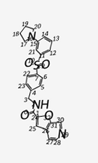 O=C(NCc1ccc(S(=O)(=O)c2cccc(N3CCCC3)c2)cc1)c1cc2ccncc2o1